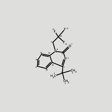 CC(C)(C)c1nc(=O)n(CC(F)(F)F)c2ccccc12